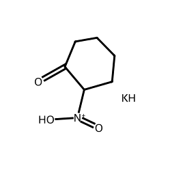 O=C1CCCCC1[N+](=O)O.[KH]